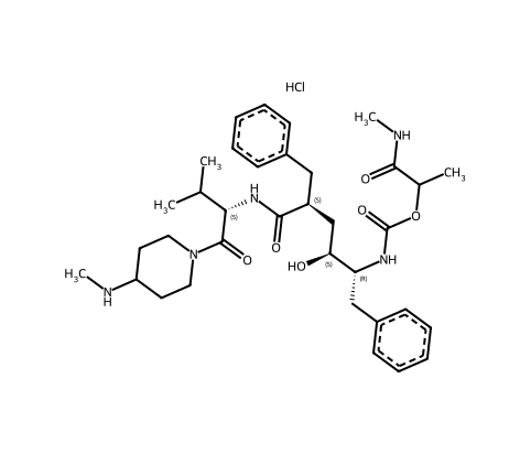 CNC(=O)C(C)OC(=O)N[C@H](Cc1ccccc1)[C@@H](O)C[C@H](Cc1ccccc1)C(=O)N[C@H](C(=O)N1CCC(NC)CC1)C(C)C.Cl